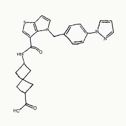 O=C(NC1CC2(C1)CC(C(=O)O)C2)c1csc2ccn(Cc3ccc(-n4cccn4)cc3)c12